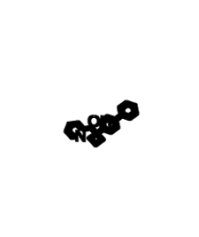 OC(c1ccccn1)C1(c2ccc(-c3ccccc3)cc2)CCC1